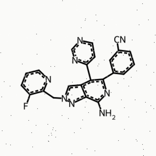 N#Cc1cccc(-c2nc(N)c3nn(Cc4ncccc4F)cc3c2-c2ccncn2)c1